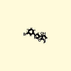 CN1CC[C@@](O)(c2cnn(-c3cccc(Br)c3)c2)C1=O